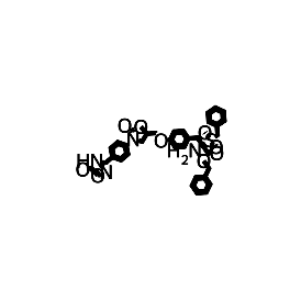 NC(Cc1ccc(OCC2CN(c3ccc(-c4noc(=O)[nH]4)cc3)C(=O)O2)cc1)(C(=O)OCc1ccccc1)S(=O)(=O)Cc1ccccc1